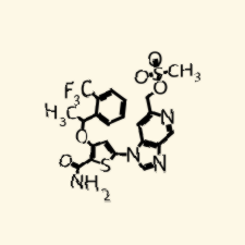 CC(Oc1cc(-n2cnc3cnc(COS(C)(=O)=O)cc32)sc1C(N)=O)c1ccccc1C(F)(F)F